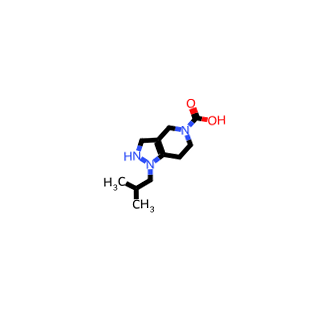 CC(C)CN1NCC2=C1CCN(C(=O)O)C2